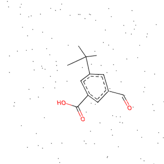 CC(C)(C)c1cc(C=O)cc(C(=O)O)c1